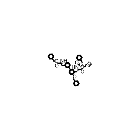 C[Si](C)(C)CCOC(=O)[C@H](Cc1cc(-c2cccc(C[C@H](N)C(=O)OCc3ccccc3)c2)ccc1OCc1ccccc1)NC(=O)OCc1ccccc1